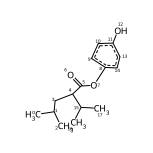 CC(C)CC(C(=O)Oc1ccc(O)cc1)C(C)C